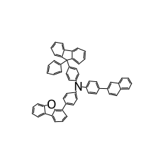 c1ccc(C2(c3ccc(N(c4ccc(-c5ccc6ccccc6c5)cc4)c4ccc(-c5cccc6c5oc5ccccc56)cc4)cc3)c3ccccc3-c3ccccc32)cc1